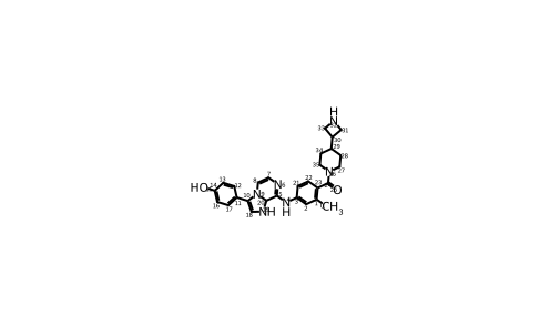 Cc1cc(NC2=NC=CN3C(c4ccc(O)cc4)=CNC23)ccc1C(=O)N1CCC(C2CNC2)CC1